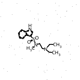 CCN(CC)CCN(C)S(=O)(=O)c1c[nH]c2ccccc12